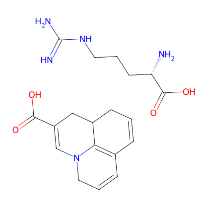 N=C(N)NCCC[C@H](N)C(=O)O.O=C(O)C1=CN2CC=CC3=C2C(CC=C3)C1